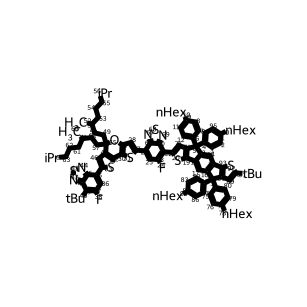 CCCCCCc1ccc(C2(c3ccc(CCCCCC)cc3)c3cc4c(cc3-c3sc(-c5c(F)cc(-c6cc7c(s6)-c6sc(-c8cc(F)c(C(C)(C)C)c9nsnc89)cc6C(CCC(C)CCCC(C)C)(CCC(C)CCCC(C)C)O7)c6nsnc56)cc32)C(c2ccc(CCCCCC)cc2)(c2ccc(CCCCCC)cc2)c2cc(C(C)(C)C)sc2-4)cc1